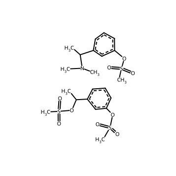 CC(OS(C)(=O)=O)c1cccc(OS(C)(=O)=O)c1.CC(c1cccc(OS(C)(=O)=O)c1)N(C)C